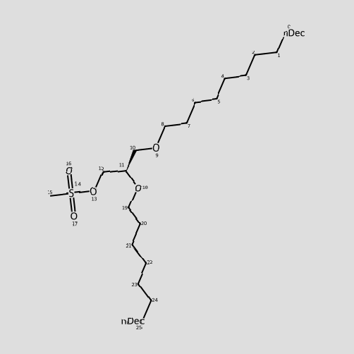 CCCCCCCCCCCCCCCCCCOC[C@H](COS(C)(=O)=O)OCCCCCCCCCCCCCCCC